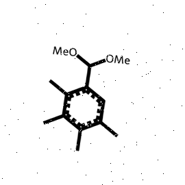 COC(OC)c1cc(C)c(C)c(C)c1C